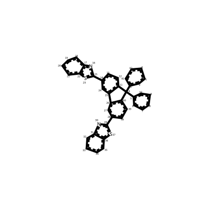 c1ccc(C2(c3ccccc3)c3ccc(-c4nc5ccccc5s4)cc3-c3cc(-c4nc5ccccc5s4)ccc32)cc1